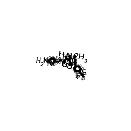 CC1CN(c2ccc(C(F)(F)F)cc2)C(=O)c2c(C(=O)NCc3ccc(N)nc3)cnn21